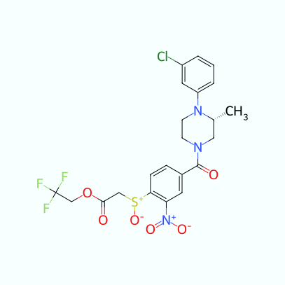 C[C@@H]1CN(C(=O)c2ccc([S+]([O-])CC(=O)OCC(F)(F)F)c([N+](=O)[O-])c2)CCN1c1cccc(Cl)c1